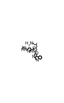 CC(C)=NNc1ccc(C(=O)NC(CCCC(C)CCN)On2cnc3cnc4ccccc4c32)cn1